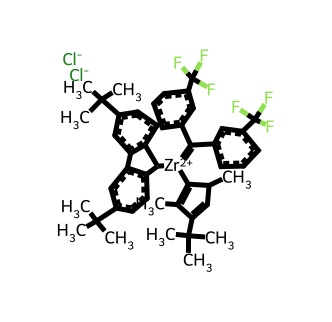 CC1=[C]([Zr+2](=[C](c2cccc(C(F)(F)F)c2)c2cccc(C(F)(F)F)c2)[CH]2c3ccc(C(C)(C)C)cc3-c3cc(C(C)(C)C)ccc32)C(C)C=C1C(C)(C)C.[Cl-].[Cl-]